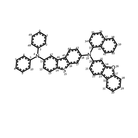 c1ccc(N(c2ccccc2)c2ccc3sc4cc(N(c5ccc6c(c5)oc5ccccc56)c5cccc6ccccc56)ccc4c3c2)cc1